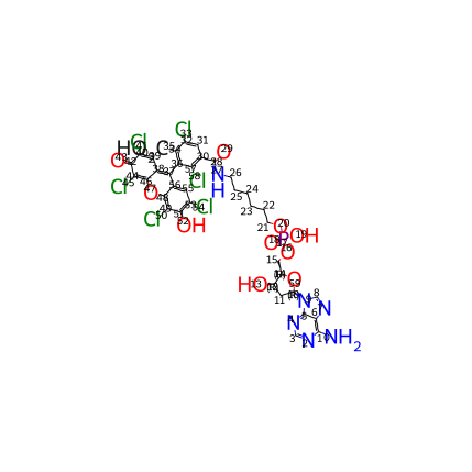 Nc1ncnc2c1ncn2[C@H]1C[C@@H](O)[C@@H](COP(=O)(O)OCCCCCCNC(=O)c2cc(Cl)c(C(=O)O)c(-c3c4cc(Cl)c(=O)c(Cl)c-4oc4c(Cl)c(O)c(Cl)cc34)c2Cl)O1